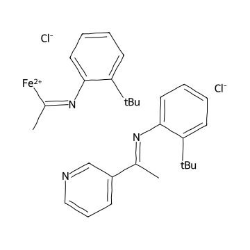 CC(=Nc1ccccc1C(C)(C)C)c1cccnc1.C[C]([Fe+2])=Nc1ccccc1C(C)(C)C.[Cl-].[Cl-]